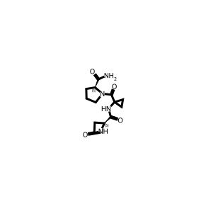 NC(=O)[C@@H]1CCCN1C(=O)C1(NC(=O)[C@@H]2CC(=O)N2)CC1